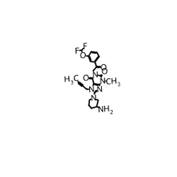 CC#CCn1c(N2CCCC(N)C2)nc2c1c(=O)n(CC(=O)c1cccc(OC(F)F)c1)c(=O)n2C